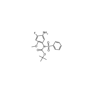 COc1cc(F)c(N)cc1N(C(=O)OC(C)(C)C)S(=O)(=O)c1ccccc1